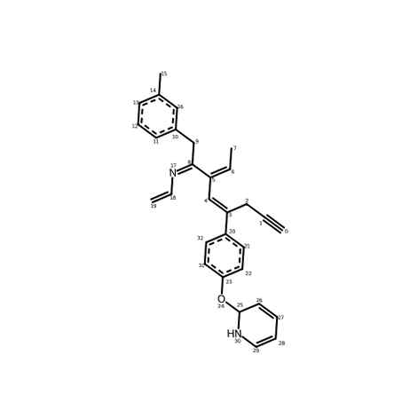 C#CC\C(=C/C(=C/C)C(/Cc1cccc(C)c1)=N\C=C)c1ccc(OC2C=CC=CN2)cc1